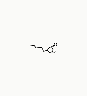 CCCCCC1COC(=O)C1